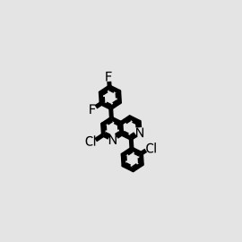 Fc1ccc(-c2cc(Cl)nc3c(-c4ccccc4Cl)nccc23)c(F)c1